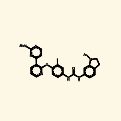 CNc1nccc(-c2cccnc2Oc2ccc(NC(=O)Nc3ccc4c(c3)N(C(C)=O)CC4)cc2C)n1